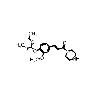 CCO[C@H](OC)Oc1ccc(/C=C/C(=O)N2CCNCC2)cc1OC